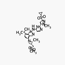 CC(C)c1ccc(N2C[C@H](CS(C)(=O)=O)[C@H]2C)c2cnc(Nc3ccnc(-c4cc(S(=O)(=O)C5CC5)nn4C)n3)cc12